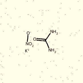 NC(N)=O.O=[N+]([O-])[O-].[K+]